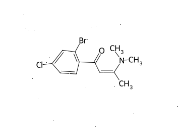 CC(=CC(=O)c1ccc(Cl)cc1Br)N(C)C